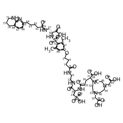 Cc1cc(OCCCC(=O)NCCNC(=O)C(CS(=O)(=O)O)NC(=O)CCC(C(=O)O)N2CCN(CC(=O)O)CCN(CC(=O)O)CC2)cc(C)c1S(=O)(=O)N[C@H](CNC(=O)CCCCc1ccc2c(n1)NCCC2)C(=O)O